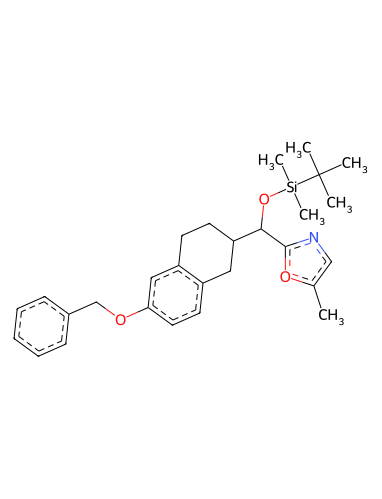 Cc1cnc(C(O[Si](C)(C)C(C)(C)C)C2CCc3cc(OCc4ccccc4)ccc3C2)o1